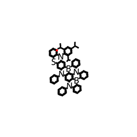 CC(C)c1cc(C(C)C)c(N2c3ccccc3Sc3cc4c(cc32)B2c3ccccc3N3c5ccccc5B5c6ccccc6N(c6ccccc6)c6cc(c2c3c65)N4c2ccccc2)c(C(C)C)c1